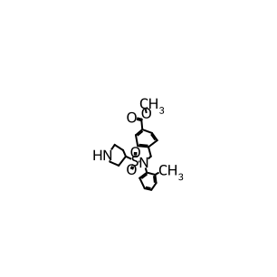 COC(=O)c1ccc(CN(c2ccccc2C)S(=O)(=O)C2CCNCC2)cc1